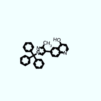 Cc1nn(C(c2ccccc2)(c2ccccc2)c2ccccc2)cc1-c1ccc2nccc(O)c2c1